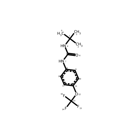 CC(C)(C)NC(=O)Nc1ccc(OC(F)(F)F)cc1